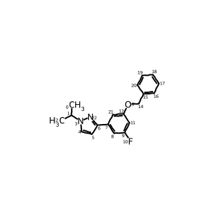 CC(C)n1ccc(-c2cc(F)cc(OCc3ccccc3)c2)n1